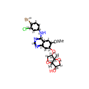 COc1cc2c(Nc3ccc(Br)c(Cl)c3)ncnc2cc1O[C@@H]1CO[C@@H]2[C@H]1OC[C@H]2O